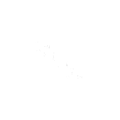 CCC(C)C(=O)Oc1ccc(SSc2nc3ccccc3o2)cc1